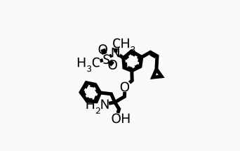 CN(c1cc(/C=C\C2CC2)cc(COCC(N)(CO)Cc2ccccc2)c1)S(C)(=O)=O